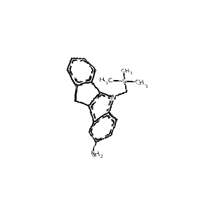 Bc1ccc2c(c1)c1c(n2C[Si](C)(C)C)-c2ccccc2C1